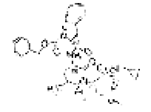 CCC[C@H](NC(=O)[C@H](CC(C)C)NC(=O)[C@H](Cc1ccccc1)NC(=O)OCc1ccccc1)C(=O)C(=O)NC1CC1